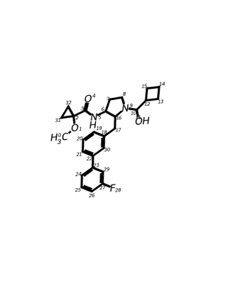 COC1(C(=O)NC2CCN(C(O)C3CCC3)C2Cc2cccc(-c3cccc(F)c3)c2)CC1